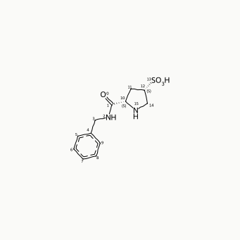 O=C(NCc1ccccc1)[C@@H]1C[C@H](S(=O)(=O)O)CN1